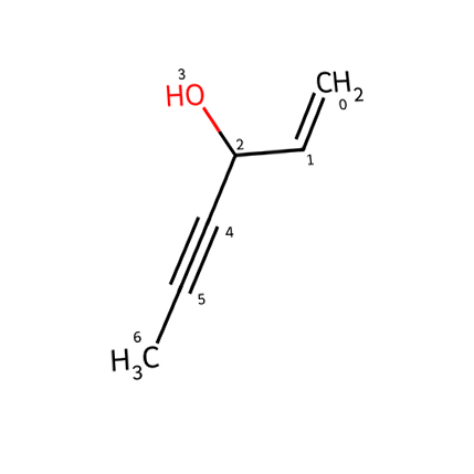 C=CC(O)C#CC